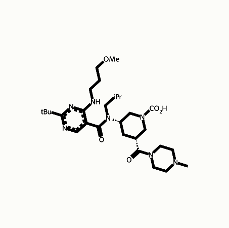 COCCCNc1nc(C(C)(C)C)ncc1C(=O)N(CC(C)C)[C@H]1C[C@@H](C(=O)N2CCN(C)CC2)CN(C(=O)O)C1